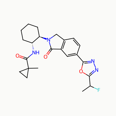 CC(F)c1nnc(-c2ccc3c(c2)C(=O)N([C@@H]2CCCC[C@H]2NC(=O)C2(C)CC2)C3)o1